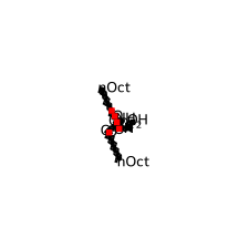 CCCCCCCCC=CCCCCCCCC(=O)OCC(OCCN(C)CCO)C(OC(=O)CCCCCCCC=CCCCCCCCC)C(N)=O